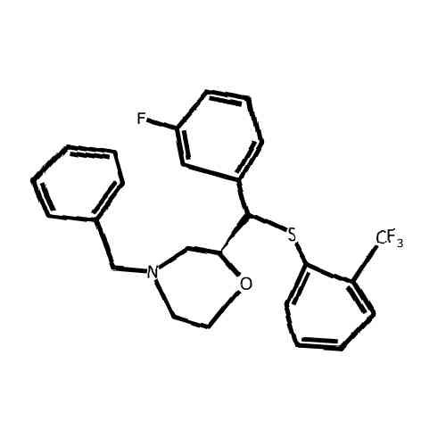 Fc1cccc(C(Sc2ccccc2C(F)(F)F)[C@@H]2CN(Cc3ccccc3)CCO2)c1